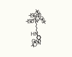 CC(C)(C)OC(=O)n1ncc2ccc(NCCCCCCN3CC(O[Si](C)(C)C(C)(C)C)C(O[Si](C)(C)C(C)(C)C)C(O[Si](C)(C)C(C)(C)C)[C@H]3CO[Si](C)(C)C(C)(C)C)cc21